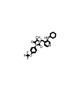 CC1C(=O)N(c2ccc(OC(F)(F)F)cc2)C(=O)N1Cc1ccncc1NC1CCCCC1